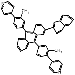 Cc1cc(-c2c3ccccc3c(-c3ccc(-c4ccncc4)c(C)c3)c3cc(-c4ccc5ccccc5c4)ccc23)ccc1-c1ccncc1